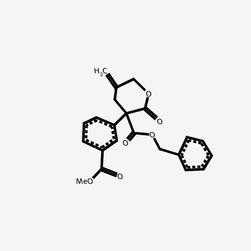 C=C1COC(=O)C(C(=O)OCc2ccccc2)(c2cccc(C(=O)OC)c2)C1